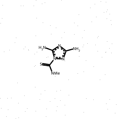 CNC(=S)n1nc(N)nc1N